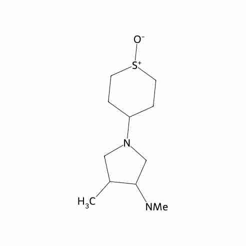 CNC1CN(C2CC[S+]([O-])CC2)CC1C